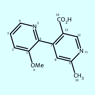 COc1cccnc1-c1cc(C)ncc1C(=O)O